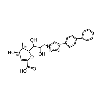 C[C@H]1C(C(O)C(O)Cn2cc(-c3ccc(-c4ccccc4)cc3)nn2)OC(C(=O)O)=C[C@H]1O